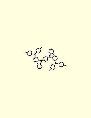 Cc1ccc(N(c2ccc(C)cc2)c2ccc3c4ccccc4n(-c4ccc(-n5c6ccccc6c6ccc(N(c7ccc(C)cc7)c7ccc(C)cc7)cc65)cc4)c3c2)cc1